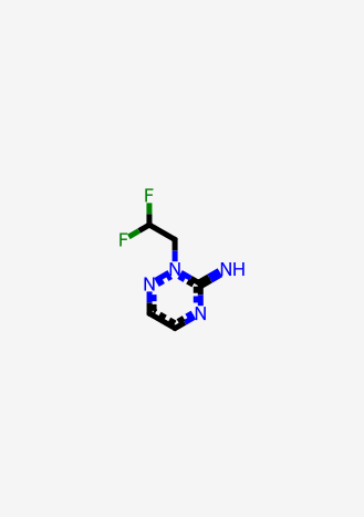 N=c1nccnn1CC(F)F